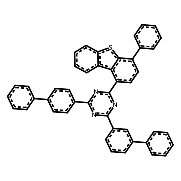 c1ccc(-c2ccc(-c3nc(-c4cccc(-c5ccccc5)c4)nc(-c4ccc(-c5ccccc5)c5sc6ccccc6c45)n3)cc2)cc1